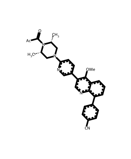 COc1c(-c2ccc(N3C[C@@H](C)N(C(=O)C(C)=O)[C@@H](C)C3)nc2)cnc2c(-c3ccc(C#N)cc3)cccc12